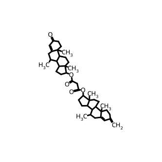 C=C1C=C2CC(C)C3C(CCC4(C)C(OC(=O)CC(=O)OC5CCC6C7C(C)CC8=CC(=O)CCC8(C)C7CCC56C)CCC34)C2(C)CC1